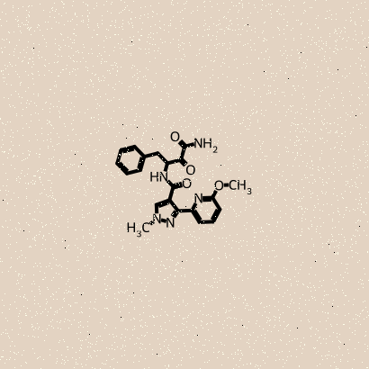 COc1cccc(-c2nn(C)cc2C(=O)NC(Cc2ccccc2)C(=O)C(N)=O)n1